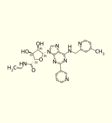 C=CNC(=O)[C@H]1O[C@@H](n2cnc3c(NCc4cc(C)ccn4)nc(-c4cccnc4)nc32)[C@H](O)[C@@H]1O